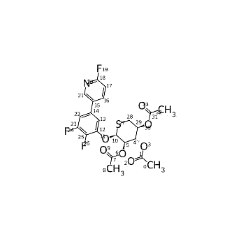 CC(=O)O[C@@H]1[C@@H](OC(C)=O)[C@@H](Oc2cc(-c3ccc(F)nc3)cc(F)c2F)SC[C@H]1OC(C)=O